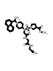 C#CCNC(=O)CNC(=O)CN(C1CCN(C(C)c2cccc3ccccc23)CC1)S(=O)(=O)N1CCC(C(=O)OC)C1